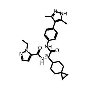 CCn1nccc1C(=O)N[C@H](C(=O)Nc1ccc(-c2c(C)n[nH]c2C)cc1)C1CCC2(CC1)CC2